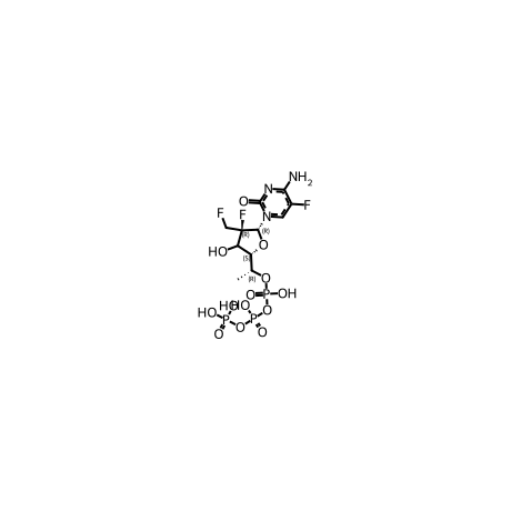 C[C@@H](OP(=O)(O)OP(=O)(O)OP(=O)(O)O)[C@H]1O[C@@H](n2cc(F)c(N)nc2=O)[C@@](F)(CF)C1O